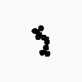 c1ccc(-n2c3ccccc3c3c4cccc(-c5ccc6oc7ccc(-c8ccc(-n9c%10ccccc%10c%10ccccc%109)cc8)cc7c6c5)c4oc32)cc1